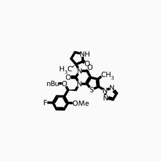 CCCCO[C@@H](Cn1c(=O)n([C@@]2(C)CCNC2=O)c(=O)c2c(C)c(-n3nccn3)sc21)c1cc(F)ccc1OC